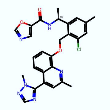 Cc1cc(Cl)c(COc2cccc3c(-c4ncnn4C)cc(C)nc23)c([C@H](C)NC(=O)c2cnco2)c1